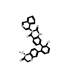 CN1C(=O)COc2cc(-c3cccc(Cl)c3-c3ccc4c(=O)n(-c5cncc6ccccc56)c(=O)[nH]c4c3)ccc21